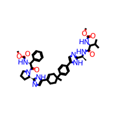 COC(=O)N[C@H](C(=O)N[C@@H](C)c1ncc(-c2ccc(C3(C)CC=C(c4cnc([C@@H]5CCCN5C(=O)[C@H](NC(=O)OC)c5ccccc5)[nH]4)CC3)cc2)[nH]1)C(C)C